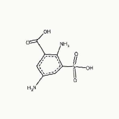 Nc1cc(C(=O)O)c(N)c(S(=O)(=O)O)c1